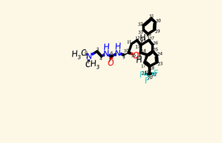 CN(C)CCNC(=O)NC[C@H]1CC[C@@H]2[C@H](O1)c1cc(C(F)(F)F)ccc1C[C@H]2C1C=CC=CC1